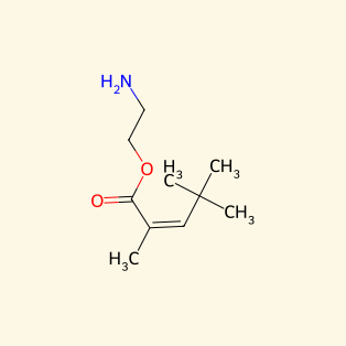 CC(=CC(C)(C)C)C(=O)OCCN